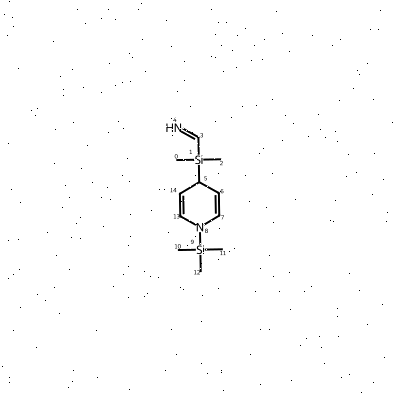 C[Si](C)(C=N)C1C=CN([Si](C)(C)C)C=C1